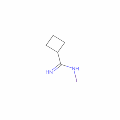 N=C(NI)C1CCC1